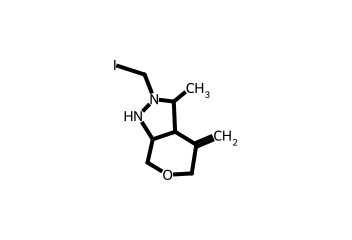 C=C1COCC2NN(CI)C(C)C12